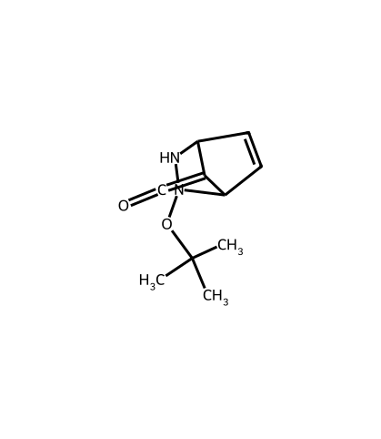 CC(C)(C)ON1NC2C=CC1C2=C=O